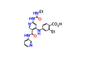 CCNC(=O)Nc1cc(Nc2ccc(C(=O)O)c(CC)c2)c(C(=O)Nc2cccnc2)cn1